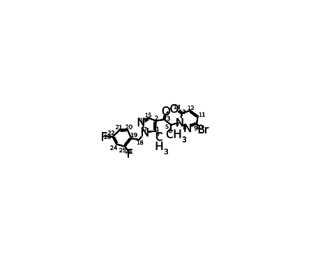 Cc1c(C(=O)C(C)n2nc(Br)ccc2=O)cnn1Cc1ccc(F)cc1F